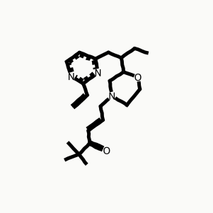 C=Cc1nccc(CC(CC)C2CN(C/C=C/C(=O)C(C)(C)C)CCO2)n1